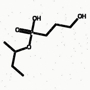 CCC(C)OP(=O)(O)CCCO